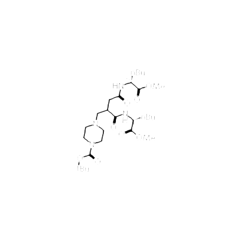 CCCC[C@H](NC(=O)CC(CN1CCN(C(=O)OC(C)(C)C)CC1)C(=O)N[C@@H](CCCC)C(=O)OC)C(=O)OC